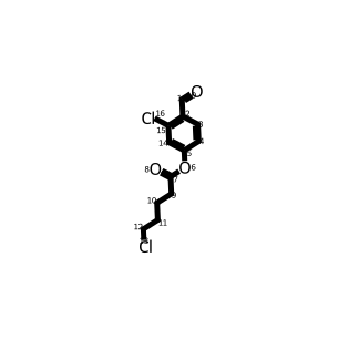 O=Cc1ccc(OC(=O)CCCCCl)cc1Cl